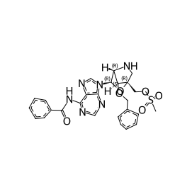 CS(=O)(=O)OC[C@@]12CN[C@@H]([C@H](n3cnc4c(NC(=O)c5ccccc5)ncnc43)O1)[C@@H]2OCc1ccccc1